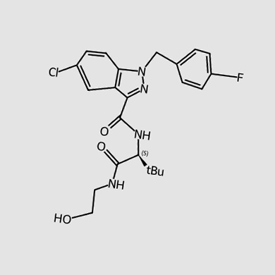 CC(C)(C)[C@H](NC(=O)c1nn(Cc2ccc(F)cc2)c2ccc(Cl)cc12)C(=O)NCCO